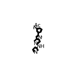 CC(=O)N(C)c1cccc(-c2cc3cnc(Nc4cccnc4)cc3n2C)c1